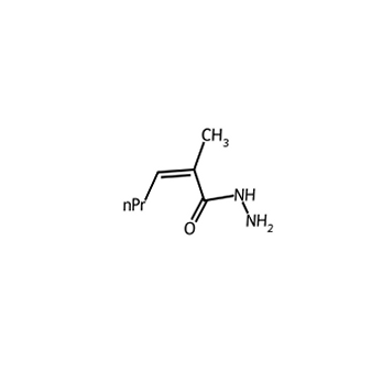 CCCC=C(C)C(=O)NN